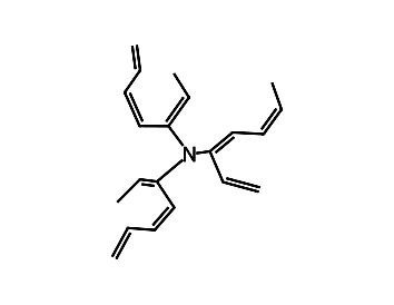 C=C/C=C\C(=C/C)N(/C(C=C)=C/C=C\C)C(/C=C\C=C)=C/C